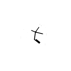 C=CC(C)(N)C(=O)O.Cl